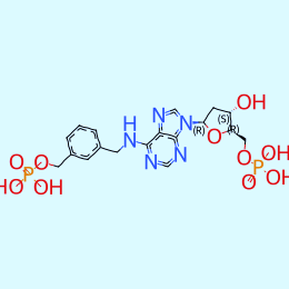 O=P(O)(O)OCc1cccc(CNc2ncnc3c2ncn3[C@H]2C[C@H](O)[C@@H](COP(=O)(O)O)O2)c1